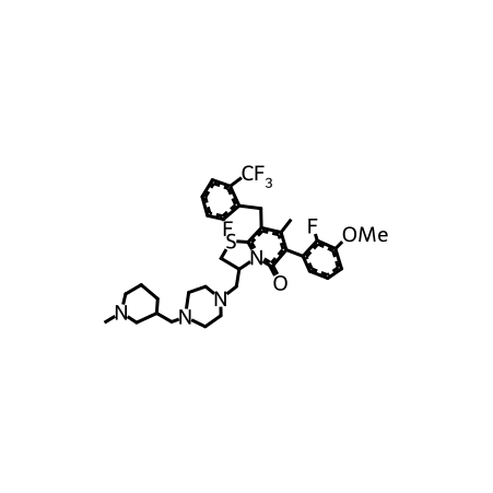 COc1cccc(-c2c(C)c(Cc3c(F)cccc3C(F)(F)F)c3n(c2=O)C(CN2CCN(CC4CCCN(C)C4)CC2)CS3)c1F